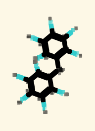 Fc1c(F)c(F)[c]([Sb][c]2c(F)c(F)c(F)c(F)c2F)c(F)c1F